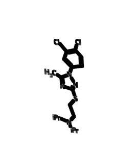 Cc1nc(SCCN(C(C)C)C(C)C)nn1-c1ccc(Cl)c(Cl)c1